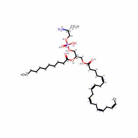 CC/C=C\C/C=C\C/C=C\C/C=C\C/C=C\CCCC(=O)OC[C@H](COP(=O)(O)OC[C@H](N)C(=O)O)OC(=O)CCCCCCCCCCCCCCCCCC